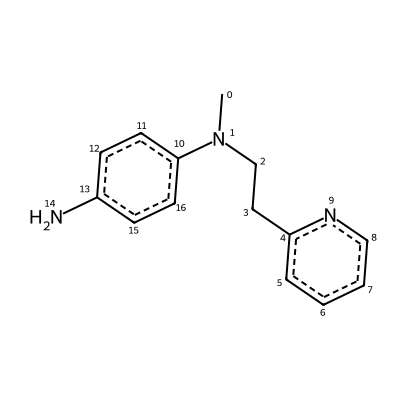 CN(CCc1ccccn1)c1ccc(N)cc1